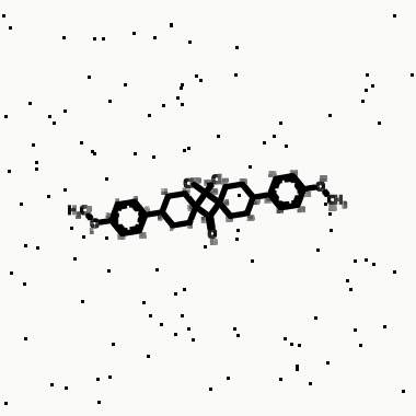 COc1ccc(C2CCC3(CC2)C(=O)C2(CCC(c4ccc(OC)cc4)CC2)C3(Cl)Cl)cc1